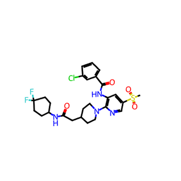 CS(=O)(=O)c1cnc(N2CCC(CC(=O)NC3CCC(F)(F)CC3)CC2)c(NC(=O)c2cccc(Cl)c2)c1